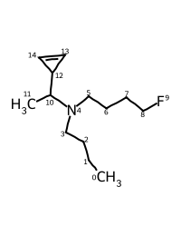 CCCCN(CCCCF)C(C)C1C=C1